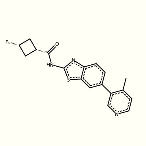 Cc1ccncc1-c1ccc2nc(NC(=O)[C@H]3C[C@@H](F)C3)sc2c1